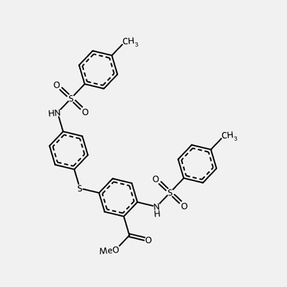 COC(=O)c1cc(Sc2ccc(NS(=O)(=O)c3ccc(C)cc3)cc2)ccc1NS(=O)(=O)c1ccc(C)cc1